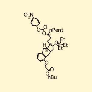 CCCCC[C@@H](CC[C@H]1C(O[Si](CC)(CC)CC)CC2Cc3c(cccc3OCC(=O)OCCCC)C[C@@H]21)OC(=O)Oc1ccc([N+](=O)[O-])cc1